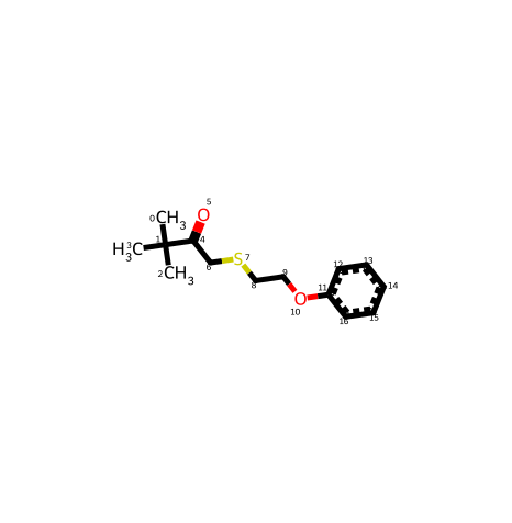 CC(C)(C)C(=O)CSCCOc1ccccc1